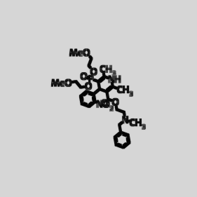 COCCOP(=O)(OCCOC)C1=C(C)NC(C)=C(C(=O)OCCN(C)Cc2ccccc2)C1c1ccccc1[N+](=O)[O-]